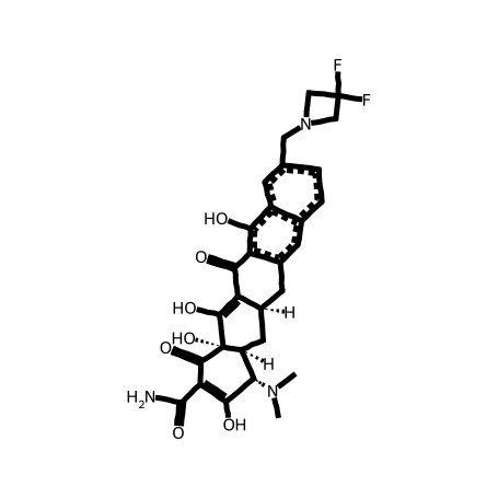 CN(C)[C@@H]1C(O)=C(C(N)=O)C(=O)[C@@]2(O)C(O)=C3C(=O)c4c(cc5ccc(CN6CC(F)(F)C6)cc5c4O)C[C@H]3C[C@@H]12